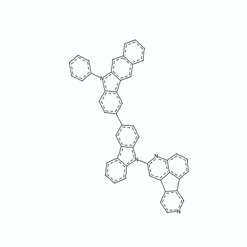 c1ccc(-n2c3ccc(-c4ccc5c(c4)c4ccccc4n5-c4cc5c6c(cccc6n4)-c4cnccc4-5)cc3c3cc4ccccc4cc32)cc1